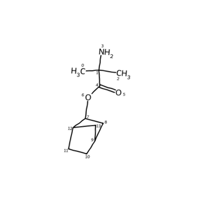 CC(C)(N)C(=O)OC1CC2CCC1C2